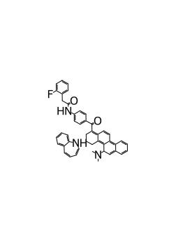 C1=CNc2ccccc2C=C1.CN(C)C1C=c2ccccc2=c2ccc3c(c21)CCCC=3C(=O)c1ccc(NC(=O)Cc2ccccc2F)cc1